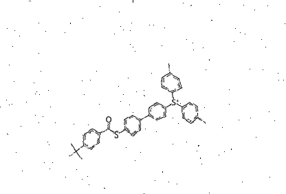 Cc1ccc([S+](c2ccc(C)cc2)c2ccc(-c3ccc(SC(=O)c4ccc(C(C)(C)C)cc4)cc3)cc2)cc1